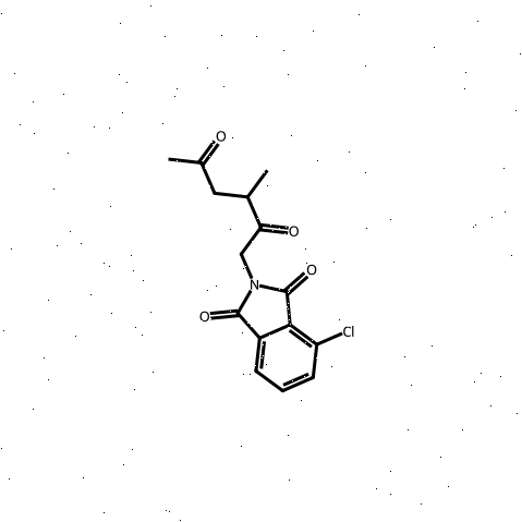 CC(=O)CC(C)C(=O)CN1C(=O)c2cccc(Cl)c2C1=O